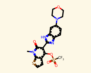 Cn1c(=O)c(-c2nc3ccc(N4CCOCC4)cc3[nH]2)c(OS(=O)(=O)C(F)(F)F)c2ccsc21